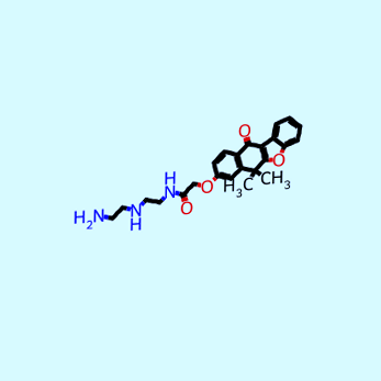 CC1(C)c2cc(OCC(=O)NCCNCCN)ccc2C(=O)c2c1oc1ccccc21